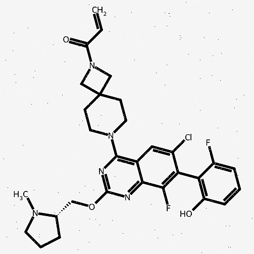 C=CC(=O)N1CC2(CCN(c3nc(OC[C@@H]4CCCN4C)nc4c(F)c(-c5c(O)cccc5F)c(Cl)cc34)CC2)C1